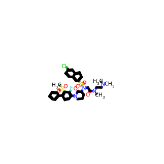 CN(C)CCN(C)C(=O)CN(C1CCCN(c2ccc(-c3ccccc3)c(S(C)(=O)=O)c2F)C1=O)S(=O)(=O)c1ccc2cc(Cl)ccc2c1